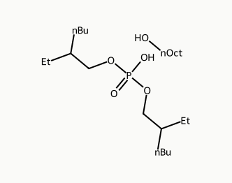 CCCCC(CC)COP(=O)(O)OCC(CC)CCCC.CCCCCCCCO